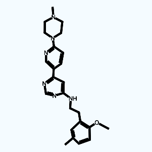 COc1ccc(C)cc1CCNc1cc(-c2ccc(N3CCN(C)CC3)nc2)ncn1